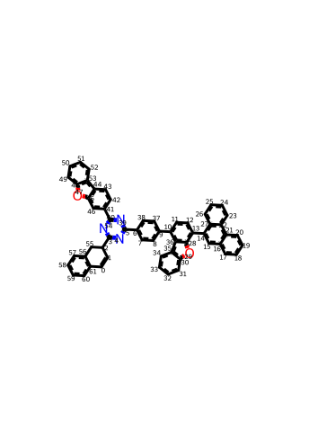 C1=CC(c2nc(-c3ccc(-c4ccc(-c5cc6ccccc6c6ccccc56)c5oc6ccccc6c45)cc3)nc(-c3ccc4c(c3)oc3ccccc34)n2)Cc2ccccc21